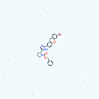 O=C(OCc1ccccc1)N1CCC[C@H]1c1cnc(-c2ccc3c(c2)Cc2ccc(Br)cc2O3)[nH]1